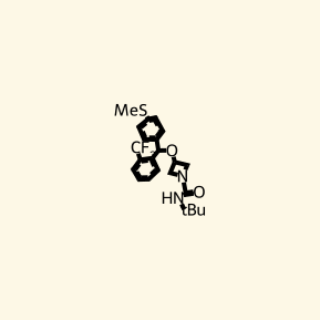 CSc1ccc(C(OC2CN(C(=O)NC(C)(C)C)C2)c2ccccc2C(F)(F)F)cc1